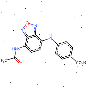 O=C(O)c1ccc(Nc2ccc(NC(=O)C(F)(F)F)c3nonc23)cc1